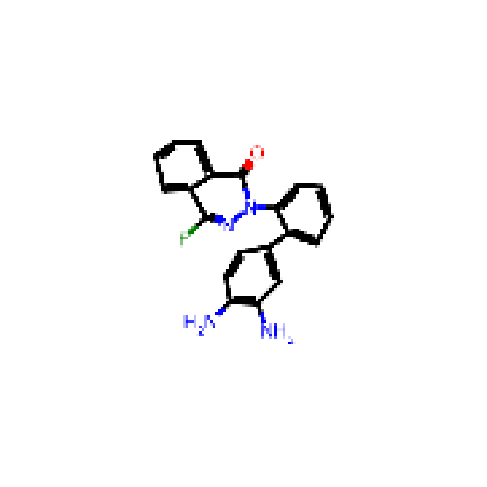 Nc1ccc(-c2ccccc2-n2nc(F)c3ccccc3c2=O)cc1N